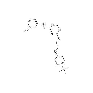 CC(C)(C)c1ccc(OCCSc2ncnc(CNc3cccc(Cl)c3)n2)cc1